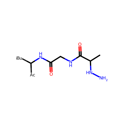 CCC(C)C(NC(=O)CNC(=O)C(C)NN)C(C)=O